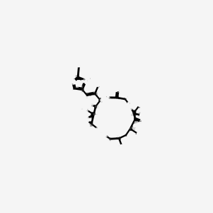 CC(=Cc1csc(C)n1)C1NC(=O)CCC(C)(C)C(=O)C(C)CC(C)CCCC2OC2(O)C1O